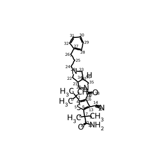 CC(C)(C)c1sc(C(C)(C)C(N)=O)c(C#N)c1C(=O)N1CC2CN(CC[CH]c3ccccc3)C[C@H]2C1